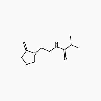 C=C1CCCN1CCNC(=O)C(C)C